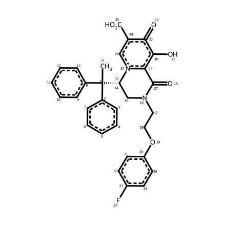 CC(c1ccccc1)(c1ccccc1)[C@H]1CN(CCOc2ccc(F)cc2)C(=O)c2c(O)c(=O)c(C(=O)O)cn21